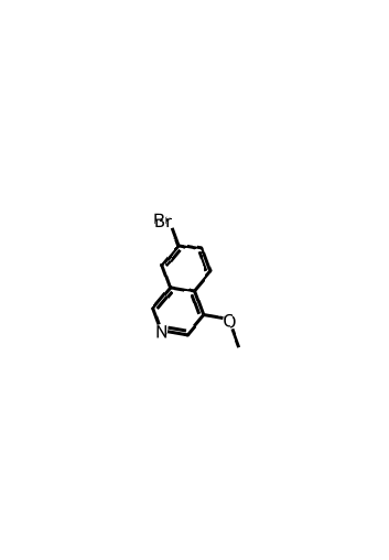 COc1cncc2cc(Br)ccc12